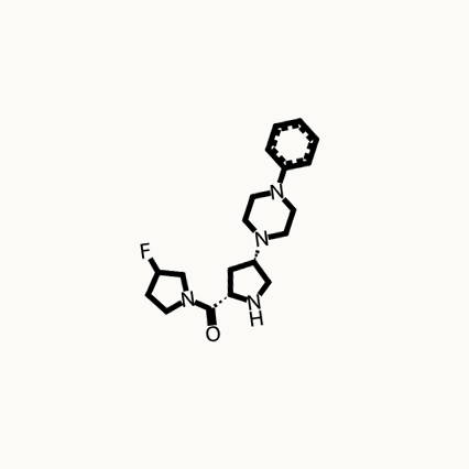 O=C([C@@H]1C[C@H](N2CCN(c3ccccc3)CC2)CN1)N1CCC(F)C1